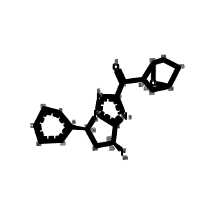 O=C(c1nc2n(n1)[C@H](c1ccccc1)C[C@@H]2F)C1CC2CCC1O2